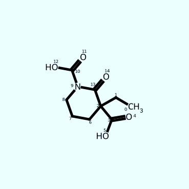 CCC1(C(=O)O)CCCN(C(=O)O)C1=O